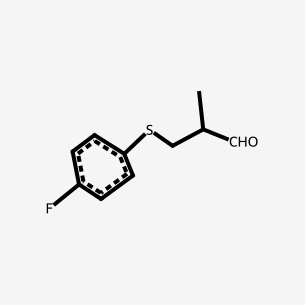 CC(C=O)CSc1ccc(F)cc1